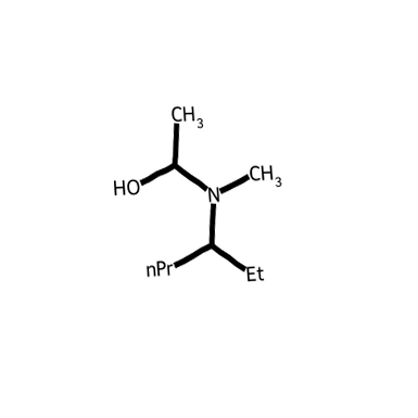 CCCC(CC)N(C)C(C)O